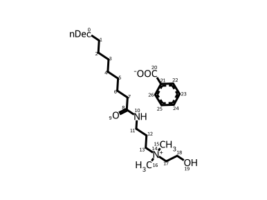 CCCCCCCCCCCCCCCCCC(=O)NCCC[N+](C)(C)CCO.O=C([O-])c1ccccc1